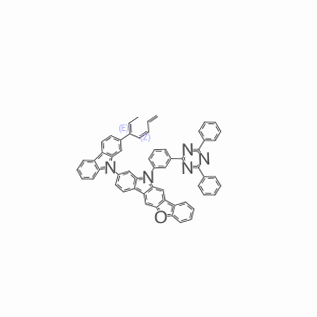 C=C/C=C\C(=C/C)c1ccc2c3ccccc3n(-c3ccc4c5cc6oc7ccccc7c6cc5n(-c5cccc(-c6nc(-c7ccccc7)nc(-c7ccccc7)n6)c5)c4c3)c2c1